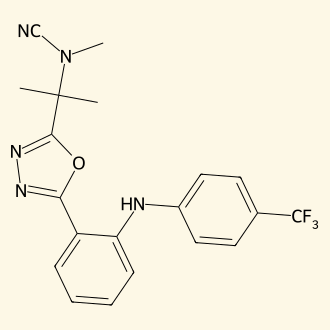 CN(C#N)C(C)(C)c1nnc(-c2ccccc2Nc2ccc(C(F)(F)F)cc2)o1